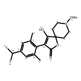 CON1CCC2(CC1)OC(=O)C(c1c(C)cc(C(F)F)cc1C)=C2O